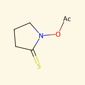 CC(=O)ON1CCCC1=S